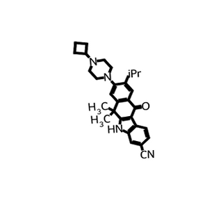 CC(C)c1cc2c(cc1N1CCN(C3CCC3)CC1)C(C)(C)c1[nH]c3cc(C#N)ccc3c1C2=O